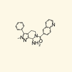 Cn1nc2c(c1-c1ccccc1)CCN(C(=O)c1ccc3ncccc3c1)[C@H]2N